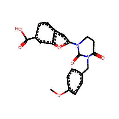 COc1ccc(CN2C(=O)CCN(c3cc4ccc(C(=O)O)cc4o3)C2=O)cc1